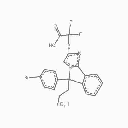 O=C(O)C(F)(F)F.O=C(O)CCC1(c2ccc(Br)cc2)c2ccccc2-c2nccn21